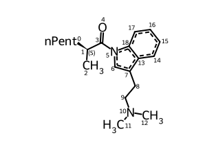 CCCCC[C@H](C)C(=O)n1cc(CCN(C)C)c2ccccc21